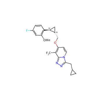 COc1cc(F)ccc1[C@H]1C[C@@H]1COc1ccn2c(CC3CC3)nnc2c1C(F)(F)F